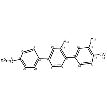 CCCCCc1ccc(-c2ccc(-c3ccc(C#N)c(F)c3)c(F)c2)cc1